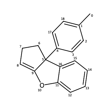 Cc1ccc(C23CCC=C2Oc2ccccc23)cc1